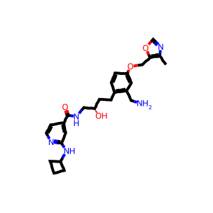 Cc1ncoc1COc1ccc(CC[C@H](O)CNC(=O)c2ccnc(NC3CCC3)c2)c(CN)c1